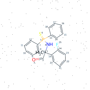 C[C@](C=O)(NP(=S)(c1ccccc1)c1ccccc1)c1ccccc1F